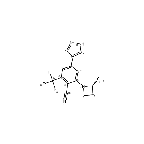 C[C@H]1CCN1c1nc(-c2cn[nH]c2)cc(C(F)(F)F)c1C#N